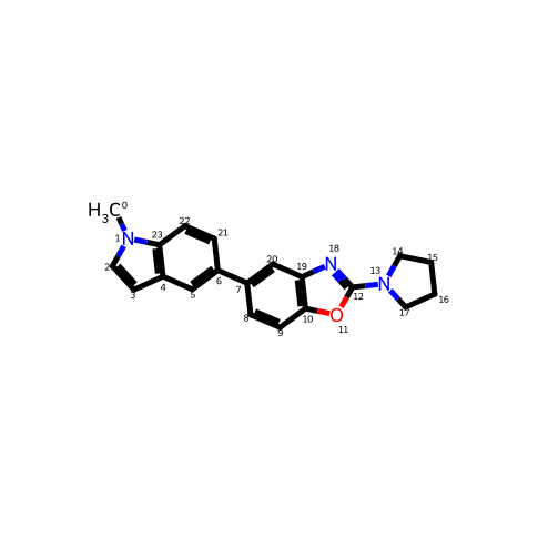 Cn1ccc2cc(-c3ccc4oc(N5CCCC5)nc4c3)ccc21